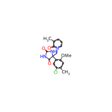 COc1cc(C)c(Cl)cc1C1(Cn2cccc(C)c2=O)NC(=O)NC1=O